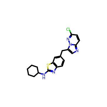 Clc1ccc2ncc(Cc3ccc4nc(NC5CCCCC5)sc4c3)n2n1